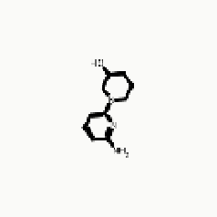 Nc1cccc(N2CCCC(O)C2)n1